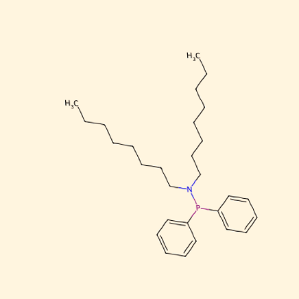 CCCCCCCCN(CCCCCCCC)P(c1ccccc1)c1ccccc1